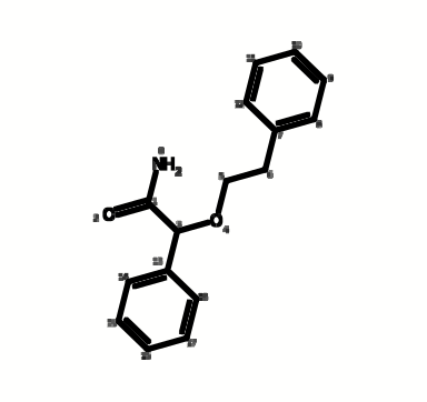 NC(=O)C(OCCc1ccccc1)c1ccccc1